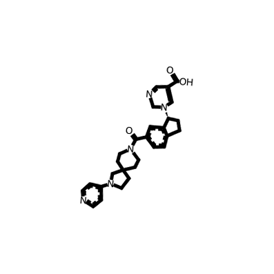 O=C(O)C1=CN([C@@H]2CCc3ccc(C(=O)N4CCC5(CC4)CCN(c4ccncc4)C5)cc32)CN=C1